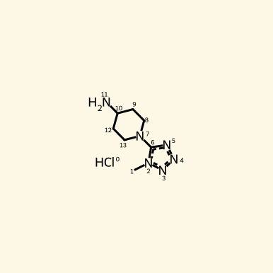 Cl.Cn1nnnc1N1CCC(N)CC1